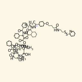 CC(=O)O[C@@]12CO[C@@H]1C[C@H](O)[C@@]1(C)C(=O)[C@H](O)C3=C(C)[C@@H](OC(=O)[C@H](OC(=O)C4CCCCC4C(=O)N(C)/N=C(\C)c4ccc(OCCCC(=O)NCCSSc5ccccn5)cc4)[C@@H](NC(=O)c4ccccc4)c4ccccc4)C[C@](O)([C@@H](OC(=O)c4ccccc4)[C@H]21)C3(C)C